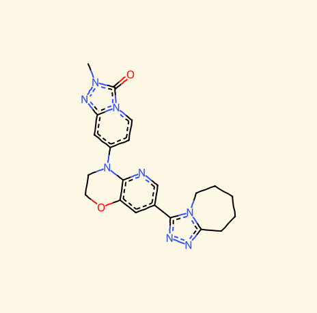 Cn1nc2cc(N3CCOc4cc(-c5nnc6n5CCCCC6)cnc43)ccn2c1=O